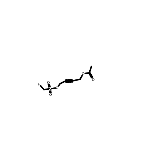 CC(=O)OCC#CCOS(=O)(=O)CF